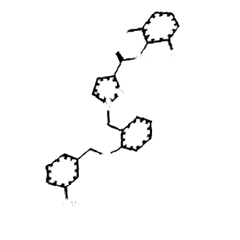 COc1cccc(COc2ccccc2Cn2ccc(C(=O)Nc3c(F)cccc3F)n2)c1